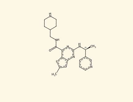 Cc1cc2nc(N[C@@H](C)c3cccnc3)nc(C(=O)NCC3CCNCC3)c2s1